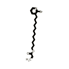 C=CC(=O)OCCCCCCCCCCCCc1cccnc1Br